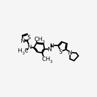 Cc1cc(N(C)c2nccs2)c(C)cc1/N=N/c1ccc(N2CCCC2)s1